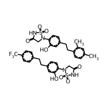 Cc1ccc(CCc2ccc(N3CC(=O)NS3(=O)=O)c(O)c2)c(C)c1.O=C1CN(c2ccc(CCc3ccc(C(F)(F)F)cc3)cc2O)S(=O)(=O)N1